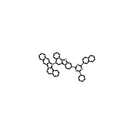 c1ccc(-c2nc(-c3ccc4ccccc4c3)nc(-c3ccc4c(c3)oc3c5ccccc5c(-n5c6cc7ccccc7cc6c6ccc7ccccc7c65)cc43)n2)cc1